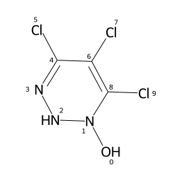 ON1NN=C(Cl)C(Cl)=C1Cl